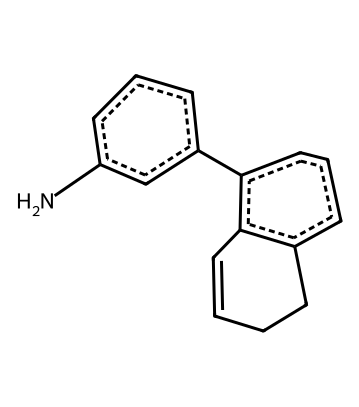 Nc1cccc(-c2cccc3c2C=CCC3)c1